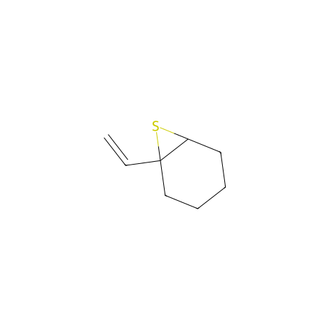 C=CC12CCCCC1S2